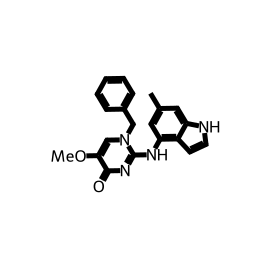 COc1cn(Cc2ccccc2)c(Nc2cc(C)cc3[nH]ccc23)nc1=O